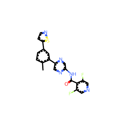 Cc1ccc(-c2ccns2)cc1-c1cnc(NC(=O)c2c(F)cncc2F)cn1